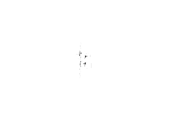 CCCCCCCCSCCCCCCCC.O=C(O)CCC(=O)O